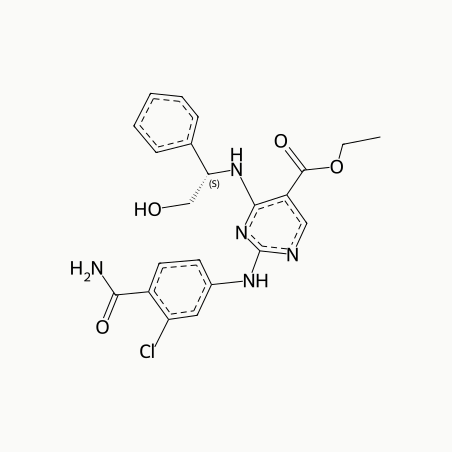 CCOC(=O)c1cnc(Nc2ccc(C(N)=O)c(Cl)c2)nc1N[C@H](CO)c1ccccc1